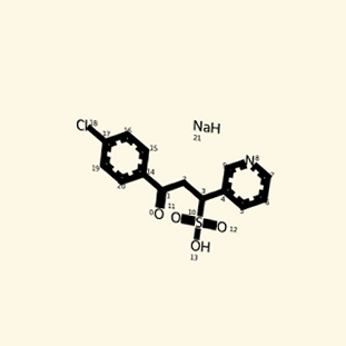 O=C(CC(c1cccnc1)S(=O)(=O)O)c1ccc(Cl)cc1.[NaH]